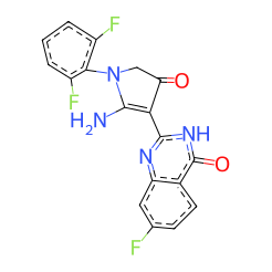 NC1=C(c2nc3cc(F)ccc3c(=O)[nH]2)C(=O)CN1c1c(F)cccc1F